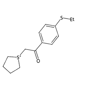 CCSc1ccc(C(=O)C[S+]2CCCC2)cc1